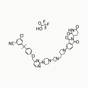 CC(C)(c1ccc(OCc2ccnc(N3CCN(C4CN(CC5CCN(c6ccc7c(c6)C(=O)N(C6CCC(=O)NC6=O)C7=O)C5)C4)CC3)n2)cc1)c1cc(Cl)cc(C#N)c1.O=C(O)C(F)(F)F